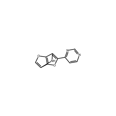 [c]1nccc(-c2oc3c4coc3c2[nH]4)n1